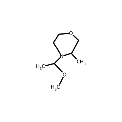 COC(C)N1CCOCC1C